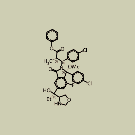 CC[C@](O)(c1cc(F)c2c(c1)C(=O)N([C@H](c1ccc(Cl)cc1)[C@H](C)C(=O)Oc1ccccc1)[C@@]2(OC)c1ccc(Cl)cc1)C1COCN1